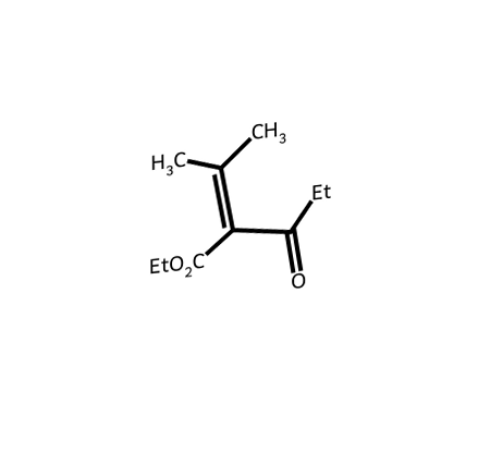 CCOC(=O)C(C(=O)CC)=C(C)C